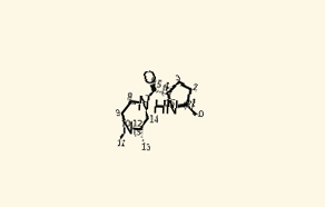 C[C@@H]1CC[C@@H](C(=O)N2CCN(C)[C@@H](C)C2)N1